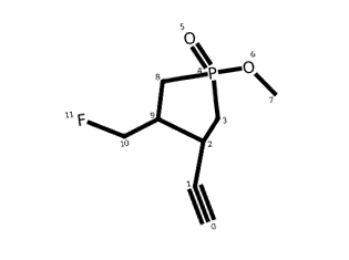 C#CC1CP(=O)(OC)CC1CF